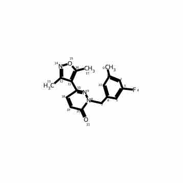 Cc1cc(F)cc(Cn2nc(-c3c(C)noc3C)ccc2=O)c1